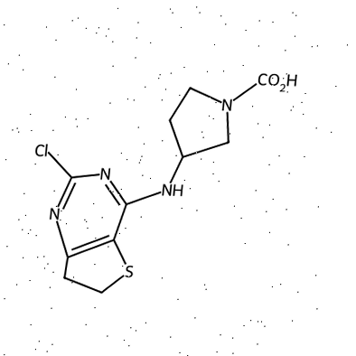 O=C(O)N1CCC(Nc2nc(Cl)nc3c2SCC3)C1